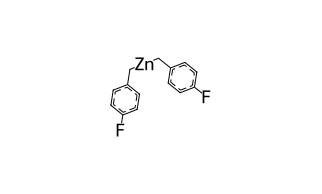 Fc1ccc([CH2][Zn][CH2]c2ccc(F)cc2)cc1